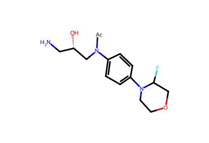 CC(=O)N(C[C@@H](O)CN)c1ccc(N2CCOCC2F)cc1